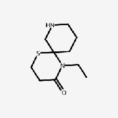 CCN1C(=O)CCSC12CCCNC2